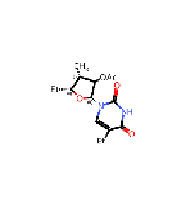 CCc1cn([C@@H]2O[C@H](CC)[C@H](C)C2OC(C)=O)c(=O)[nH]c1=O